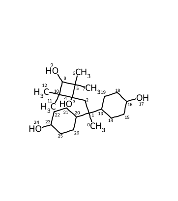 CC(CC1(O)C(C)(C)C(O)C1(C)C)(C1CCC(O)CC1)C1CCC(O)CC1